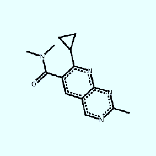 Cc1ncc2cc(C(=O)N(C)C)c(C3CC3)nc2n1